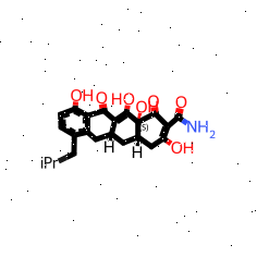 CC(C)Cc1ccc(O)c2c1C[C@H]1C[C@H]3CC(O)=C(C(N)=O)C(=O)[C@@]3(O)C(O)=C1C2=O